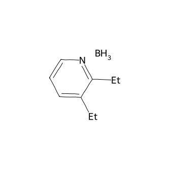 B.CCc1cccnc1CC